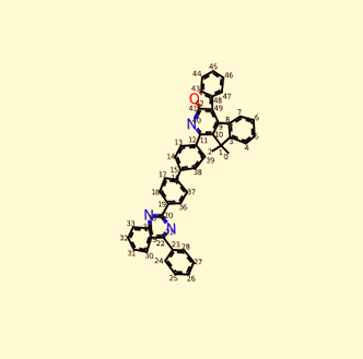 CC1(C)c2ccccc2-c2c1c(-c1ccc(-c3ccc(-c4nc(-c5ccccc5)c5ccccc5n4)cc3)cc1)nc1oc3ccccc3c21